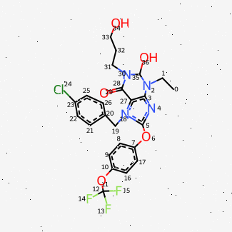 CCN1c2nc(Oc3ccc(OC(F)(F)F)cc3)n(Cc3ccc(Cl)cc3)c2C(=O)N(CCCO)C1O